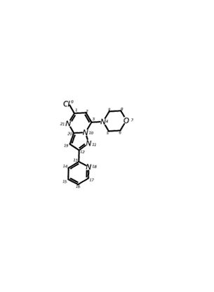 Clc1cc(N2CCOCC2)n2nc(-c3ccccn3)cc2n1